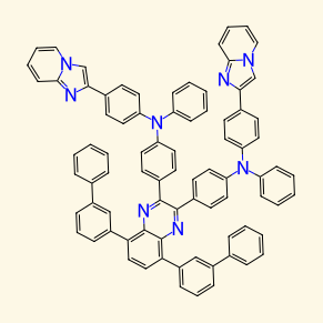 c1ccc(-c2cccc(-c3ccc(-c4cccc(-c5ccccc5)c4)c4nc(-c5ccc(N(c6ccccc6)c6ccc(-c7cn8ccccc8n7)cc6)cc5)c(-c5ccc(N(c6ccccc6)c6ccc(-c7cn8ccccc8n7)cc6)cc5)nc34)c2)cc1